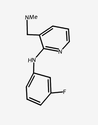 CNCc1cccnc1Nc1cccc(F)c1